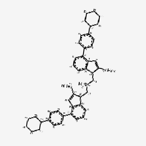 CCCCCCC1=Cc2c(-c3ccc(C4CCCCC4)cc3)cccc2C1C[SiH2]CC1C(CCCCCC)=Cc2c(-c3ccc(C4CCCCC4)cc3)cccc21